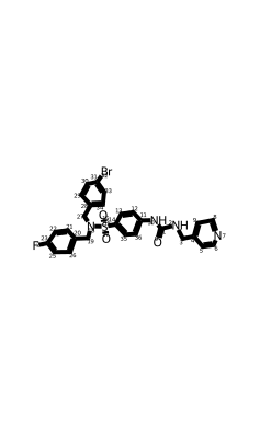 O=C(NCc1ccncc1)Nc1ccc(S(=O)(=O)N(Cc2ccc(F)cc2)Cc2ccc(Br)cc2)cc1